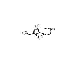 CCc1nc(C2(C)CCNCC2)no1.Cl